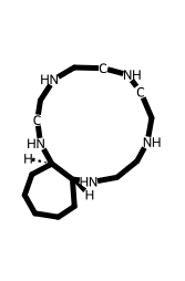 C1CC[C@H]2NCCNCCNCCNCCN[C@@H]2CC1